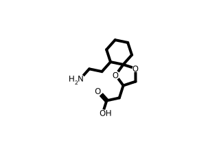 NCCC1CCCCC12OCC(CC(=O)O)O2